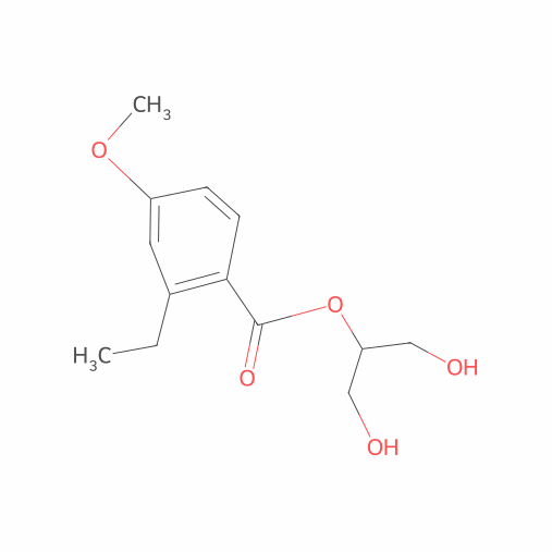 CCc1cc(OC)ccc1C(=O)OC(CO)CO